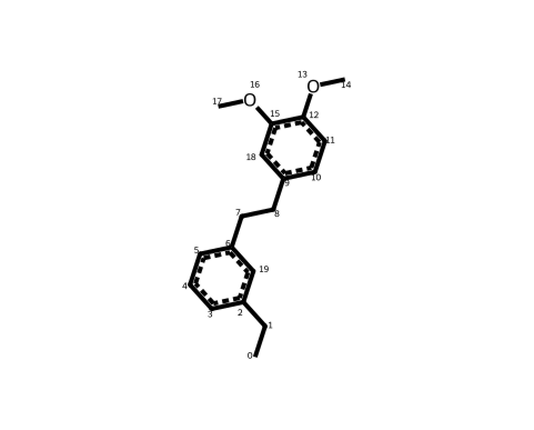 CCc1cc[c]c(CCc2ccc(OC)c(OC)c2)c1